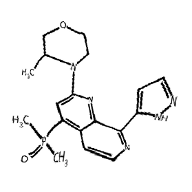 CC1COCCN1c1cc(P(C)(C)=O)c2ccnc(-c3ccn[nH]3)c2n1